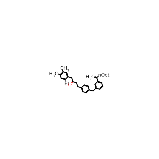 C=C(CCCCCCCC)c1cccc(Cc2ccc(CCC(=O)Cc3cc(C)c(C)cc3CC)cc2)c1